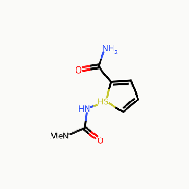 CNC(=O)N[SH]1C=CC=C1C(N)=O